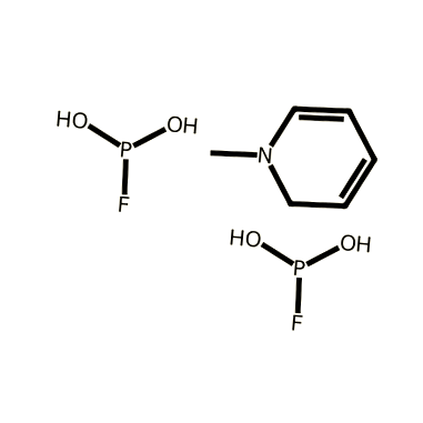 CN1C=CC=CC1.OP(O)F.OP(O)F